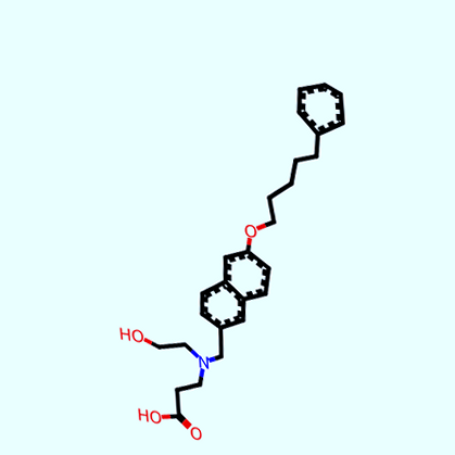 O=C(O)CCN(CCO)Cc1ccc2cc(OCCCCCc3ccccc3)ccc2c1